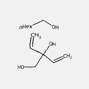 C=CC(O)(C=C)CO.CCCCCCCO